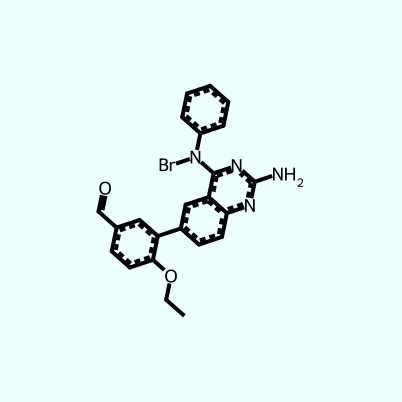 CCOc1ccc(C=O)cc1-c1ccc2nc(N)nc(N(Br)c3ccccc3)c2c1